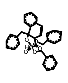 O=C(O)C1C=Cc2ccccc2C1(Cc1ccccc1)OP(=O)(OCc1ccccc1)OCc1ccccc1